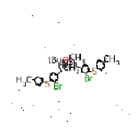 Cc1ccc(Sc2ccc(CC[Si](C)(O[Si](C)(CCc3ccc(Sc4ccc(C)cc4)c(Br)c3)C(C)(C)C)C(C)(C)C)cc2Br)cc1